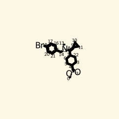 COC(=O)C1CCC(C(=C2CC2)N(C)Cc2ccc(Br)cc2)CC1